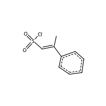 CC(=CS(=O)(=O)Cl)c1ccccc1